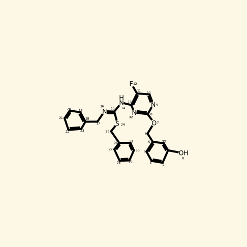 Oc1cccc(COc2ncc(F)c(N/C(=N/Cc3ccccc3)SCc3ccccc3)n2)c1